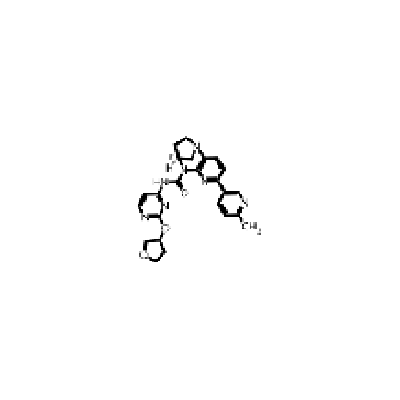 Cc1ccc(-c2ccc3c(n2)N(C(=O)Nc2ccnc(OC4CCOC4)n2)[C@H]2CCN3C2)cn1